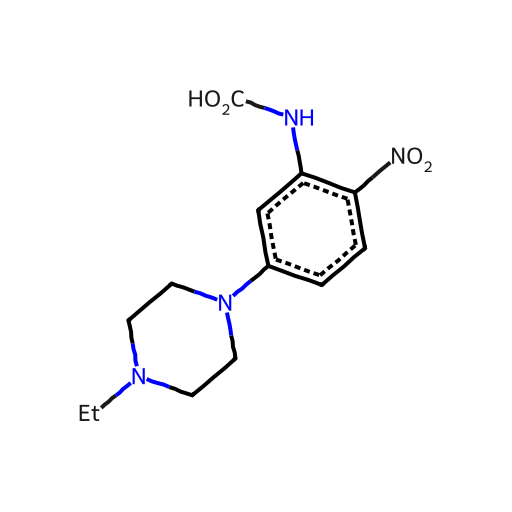 CCN1CCN(c2ccc([N+](=O)[O-])c(NC(=O)O)c2)CC1